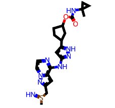 CS(=N)Cc1cc2c(Nc3cc(C4CCC(OC(=O)NC5(C)CC5)C4)[nH]n3)nccn2n1